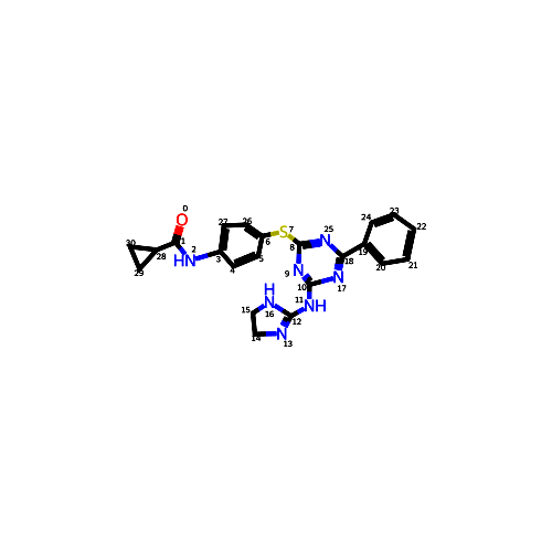 O=C(Nc1ccc(Sc2nc(NC3=NCCN3)nc(-c3ccccc3)n2)cc1)C1CC1